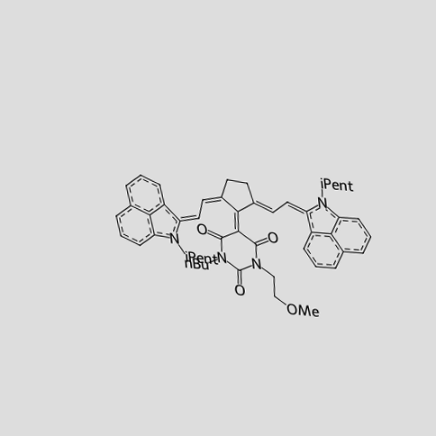 CCCCN1C(=O)/C(=C2C(=C/C=c3\c4cccc5cccc(c54)n3C(C)CCC)\CCC\2=C/C=c2\c3cccc4cccc(c43)n2C(C)CCC)C(=O)N(CCOC)C1=O